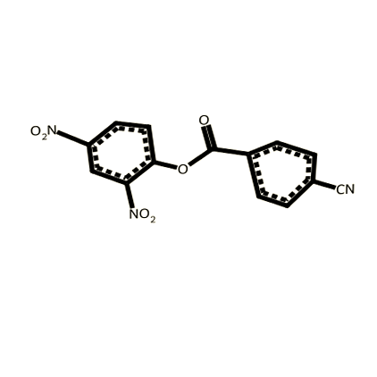 N#Cc1ccc(C(=O)Oc2ccc([N+](=O)[O-])cc2[N+](=O)[O-])cc1